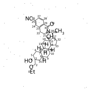 CCOC[C@@]1(O)CC[C@H]2[C@H](CC[C@@H]3[C@@H]2CC[C@]2(C)[C@@H](C(C)N4CCc5cc(C#N)ccc5C4=O)CC[C@@H]32)C1